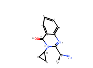 CC[C@H](N)c1nc2ccccc2c(=O)n1C1CC1